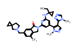 Cn1cnnc1-c1cnn(C)c1-c1cc(NC2(CC#N)CC2)nc(N2Cc3c(cc(CN4CCC5(CC5)C4)cc3C(F)(F)F)C2=O)c1